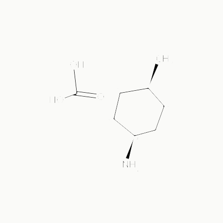 C[C@H]1CC[C@@H](N)CC1.O=C(O)O